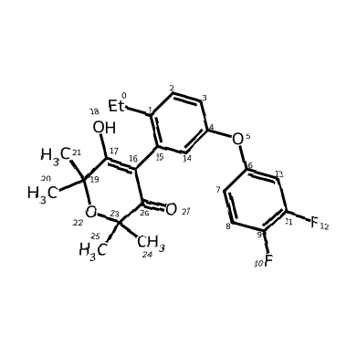 CCc1ccc(Oc2ccc(F)c(F)c2)cc1C1=C(O)C(C)(C)OC(C)(C)C1=O